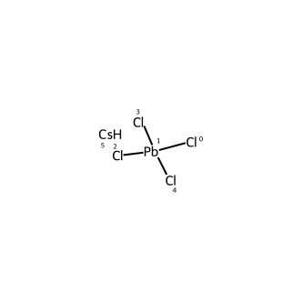 [Cl][Pb]([Cl])([Cl])[Cl].[CsH]